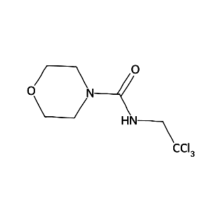 O=C(NCC(Cl)(Cl)Cl)N1CCOCC1